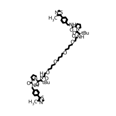 Cc1ncsc1-c1ccc(CNC(=O)[C@@H]2CCCN2C(=O)C(NC(=O)COCCCCOCCCCOCCCCOCC(=O)N[C@H](C(=O)N2CCC[C@H]2C(=O)NCc2ccc(-c3scnc3C)cc2)C(C)(C)C)C(C)(C)C)cc1